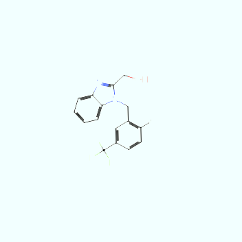 Cc1ccc(C(F)(F)F)cc1Cn1c(CO)nc2ccccc21